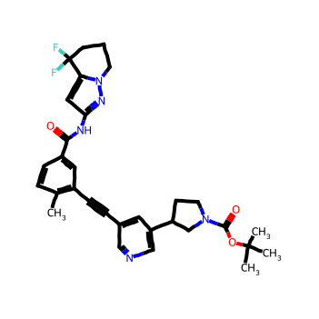 Cc1ccc(C(=O)Nc2cc3n(n2)CCCC3(F)F)cc1C#Cc1cncc(C2CCN(C(=O)OC(C)(C)C)C2)c1